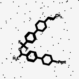 C/C=C/C1CCC(c2ccc(C(F)(F)OC(C)c3ccc(C4CCC(CCCCC)CC4)cc3)cc2)CC1